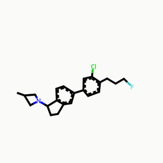 CC1CN(C2CCc3cc(-c4ccc(CCCF)c(Cl)c4)ccc32)C1